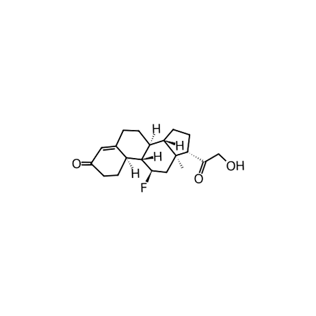 C[C@]12C[C@@H](F)[C@H]3[C@@H](CCC4=CC(=O)CC[C@@H]43)[C@@H]1CC[C@@H]2C(=O)CO